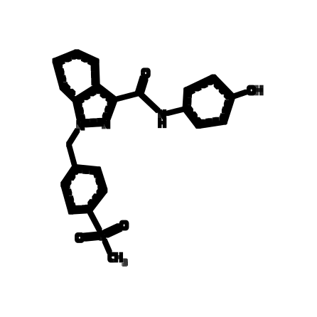 CS(=O)(=O)c1ccc(Cn2nc(C(=O)Nc3ccc(O)cc3)c3ccccc32)cc1